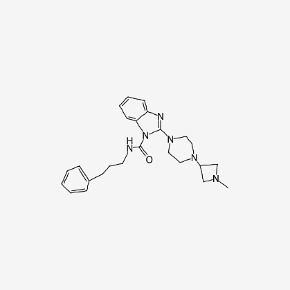 CN1CC(N2CCN(c3nc4ccccc4n3C(=O)NCCCc3ccccc3)CC2)C1